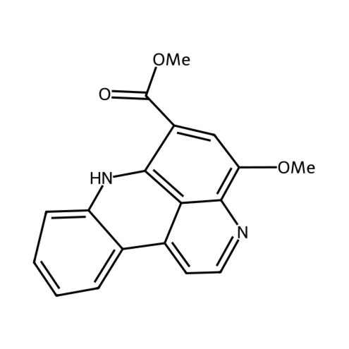 COC(=O)c1cc(OC)c2nccc3c2c1Nc1ccccc1-3